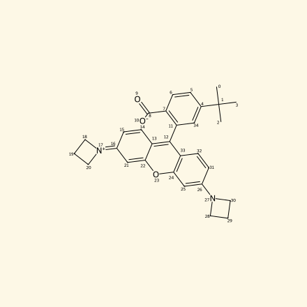 CC(C)(C)c1ccc(C(=O)[O-])c(-c2c3ccc(=[N+]4CCC4)cc-3oc3cc(N4CCC4)ccc23)c1